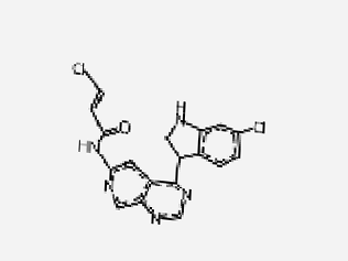 O=C(C=CCl)Nc1cc2c(C3CNc4cc(Cl)ccc43)ncnc2cn1